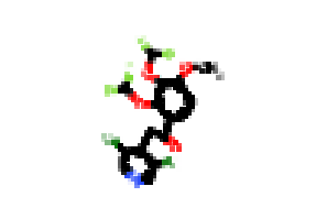 COc1ccc(C(=O)Cc2c(Cl)cncc2Cl)c(OC(F)F)c1OC(F)F